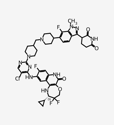 Cn1nc(C2CCC(=O)NC2=O)c2ccc(C3CCN(CC4CCN(c5ncc(Cl)c(Nc6cc7c8c(c(=O)[nH]c7cc6F)OCC(F)(F)[C@H](C6CC6)N8)n5)CC4)CC3)c(F)c21